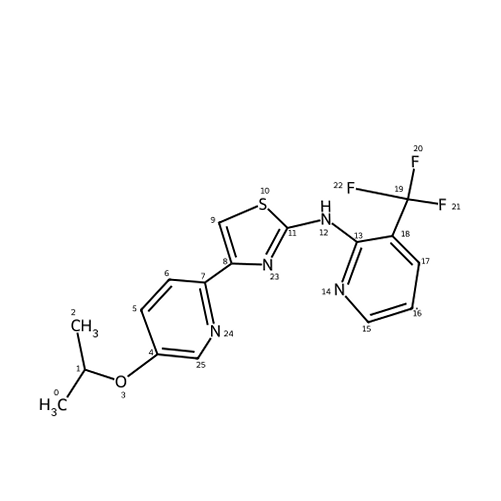 CC(C)Oc1ccc(-c2csc(Nc3nc[c]cc3C(F)(F)F)n2)nc1